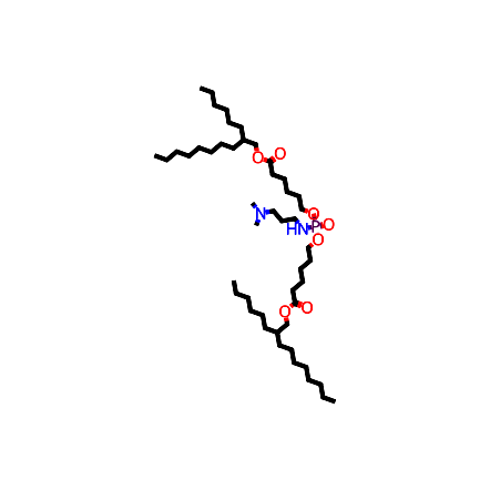 CCCCCCCCC(CCCCCC)COC(=O)CCCCCOP(=O)(NCCCN(C)C)OCCCCCC(=O)OCC(CCCCCC)CCCCCCCC